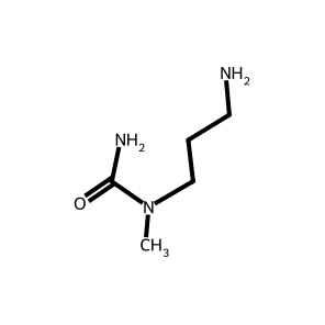 CN(CCCN)C(N)=O